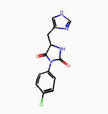 O=C1NC(Cc2c[nH]cn2)C(=O)N1c1ccc(Cl)cc1